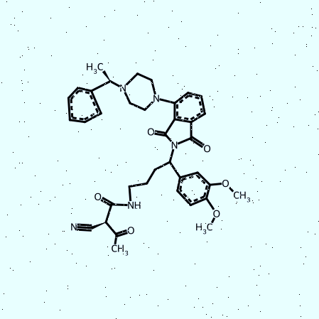 COc1ccc(C(CCCNC(=O)[C@H](C#N)C(C)=O)N2C(=O)c3cccc(N4CCN([C@H](C)c5ccccc5)CC4)c3C2=O)cc1OC